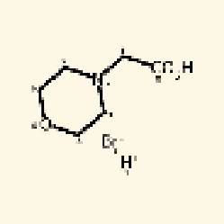 O=C(O)CN1CCOCC1.[Br-].[H+]